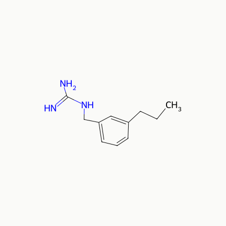 CCCc1cccc(CNC(=N)N)c1